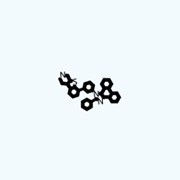 c1ccc(-c2nc3c4ccccc4c4ccccc4c3n2-c2cccc(-c3cccc4c3sc3cnccc34)c2)cc1